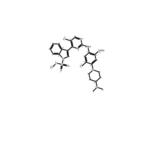 CCOS(=O)(=O)n1cc(-c2nc(Nc3cc(Cl)c(N4CCC(N(C)C)CC4)cc3OC)ncc2Cl)c2ccccc21